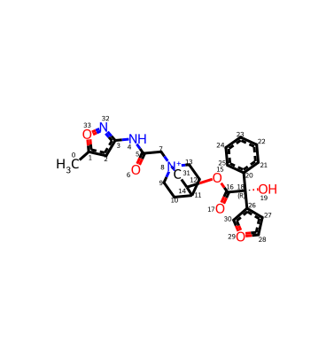 Cc1cc(NC(=O)C[N+]23CCC(CC2)C(OC(=O)[C@@](O)(c2ccccc2)c2ccoc2)C3)no1